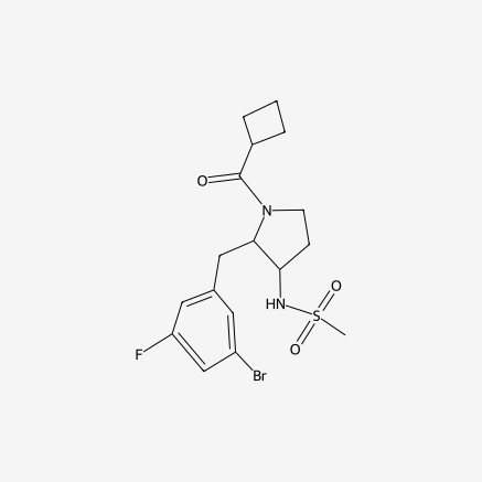 CS(=O)(=O)NC1CCN(C(=O)C2CCC2)C1Cc1cc(F)cc(Br)c1